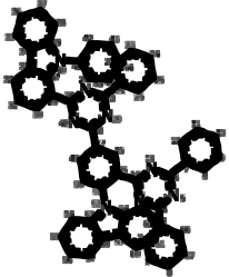 c1ccc(-c2nc(-c3ccccc3)nc(-c3cc(-c4nc(-c5ccccc5)nc(-c5cccc6c7ccccc7n(-c7ccccc7)c56)n4)ccc3-n3c4ccccc4c4ccccc43)n2)cc1